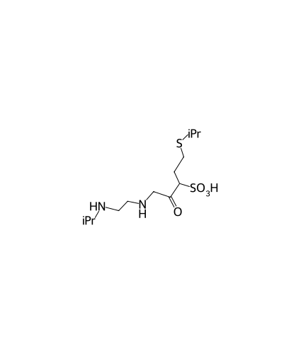 CC(C)NCCNCC(=O)C(CCSC(C)C)S(=O)(=O)O